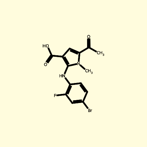 CC(=O)c1cc(C(=O)O)c(Nc2ccc(Br)cc2F)n1C